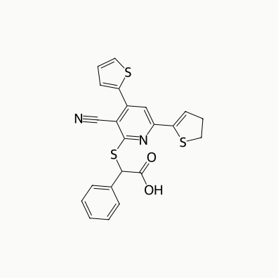 N#Cc1c(-c2cccs2)cc(C2=CCCS2)nc1SC(C(=O)O)c1ccccc1